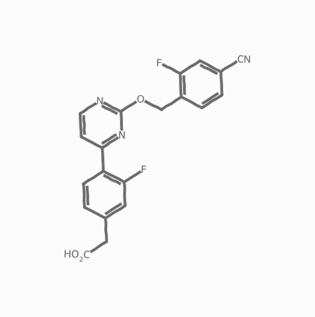 N#Cc1ccc(COc2nccc(-c3ccc(CC(=O)O)cc3F)n2)c(F)c1